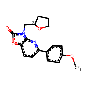 O=c1oc2ccc(-c3ccc(OC(F)(F)F)cc3)nc2n1C[C@H]1CCCO1